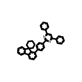 c1ccc(-c2cc(-c3ccccc3)nc(-c3ccc(-c4cccc5c4C4(CCCCC4)c4ccccc4-5)cc3)n2)cc1